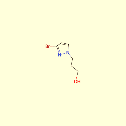 OCCCn1ccc(Br)n1